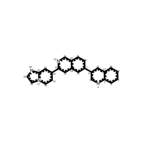 c1ccc2ncc(-c3ccc4cnc(-c5ccn6ccnc6c5)cc4c3)cc2c1